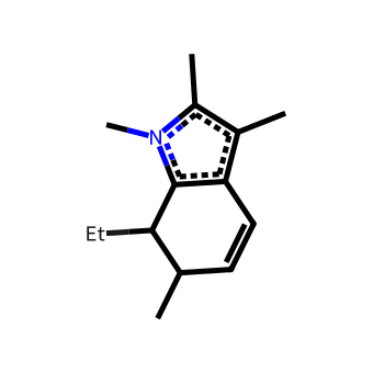 CCC1c2c(c(C)c(C)n2C)C=CC1C